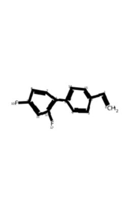 C=Cc1ccc(-c2ccc(F)cc2F)cc1